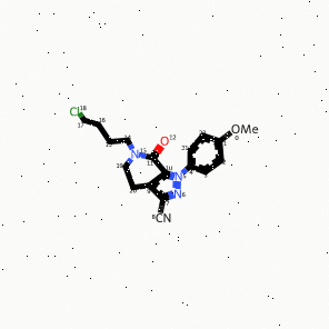 COc1ccc(-n2nc(C#N)c3c2C(=O)N(CCCCCl)CC3)cc1